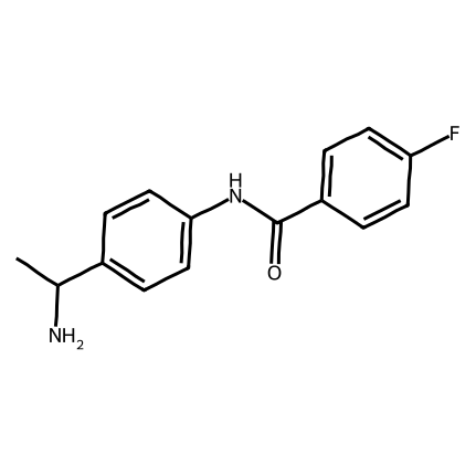 CC(N)c1ccc(NC(=O)c2ccc(F)cc2)cc1